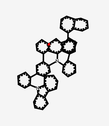 c1ccc(-c2cc(-c3ccccc3-n3c4ccccc4c4ccccc43)ccc2N(c2ccccc2-c2ccc(-c3cccc4ccccc34)cc2)c2cccc3ccccc23)cc1